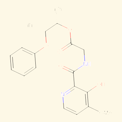 CCC[C@H](OC(=O)[C@H](C)NC(=O)c1nccc(OC)c1O)[C@H](Oc1ccccc1)C(C)C